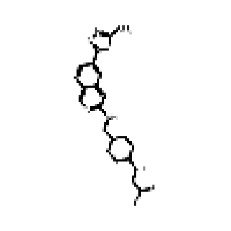 Cc1nnc(-c2ccc3cnc(NCC4CCC(NCC(F)F)CC4)cc3c2)s1